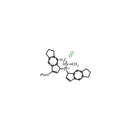 CCCC(C)C1=C[CH]([Zr+2]([CH]2C=Cc3cc4c(cc32)CCC4)[SiH](C)C)c2cc3c(cc21)CCC3.[Cl-].[Cl-]